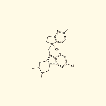 Cc1ccc2c(n1)CCC2(O)Cn1c2c(c3cc(Cl)cnc31)CN(C)C(C)C2